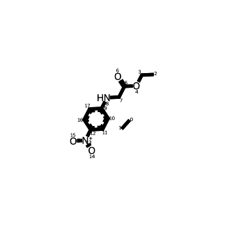 CC.CCOC(=O)CNc1ccc([N+](=O)[O-])cc1